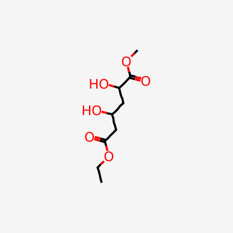 CCOC(=O)CC(O)CC(O)C(=O)OC